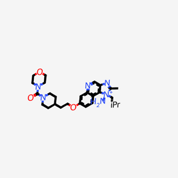 CC1=Nc2cnc3cc(OCCC4CCN(C(=O)N5CCOCC5)CC4)ccc3c2[N+]1(N)CC(C)C